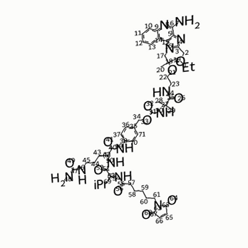 CCOCc1nc2c(N)nc3ccccc3c2n1CC(C)(C)OCCNC(=O)C(C)(C)NC(=O)OCc1ccc(NC(=O)[C@H](CCCNC(N)=O)NC(=O)[C@@H](NC(=O)CCCCCN2C(=O)C=CC2=O)C(C)C)cc1